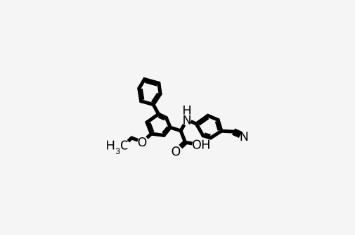 CCOc1cc(-c2ccccc2)cc(C(Nc2ccc(C#N)cc2)C(=O)O)c1